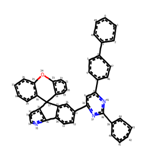 c1ccc(-c2ccc(-c3cc(-c4ccc5c(c4)C4(c6ccccc6Oc6ccccc64)c4cccnc4-5)nc(-c4ccccc4)n3)cc2)cc1